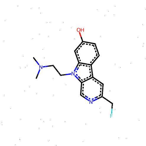 CN(C)CCn1c2cnc(CF)cc2c2ccc(O)cc21